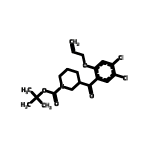 C=CCOc1cc(Cl)c(Cl)cc1C(=O)C1CCCN(C(=O)OC(C)(C)C)C1